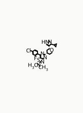 CN(C)c1nc2nc([C@H]3CCO[C@@H](c4c[nH]nc4C4CC4)C3)nc(-c3ccc(Cl)cc3F)c2s1